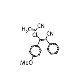 C=CC#N.COc1ccc(C(Cl)=C(C#N)c2ccccc2)cc1